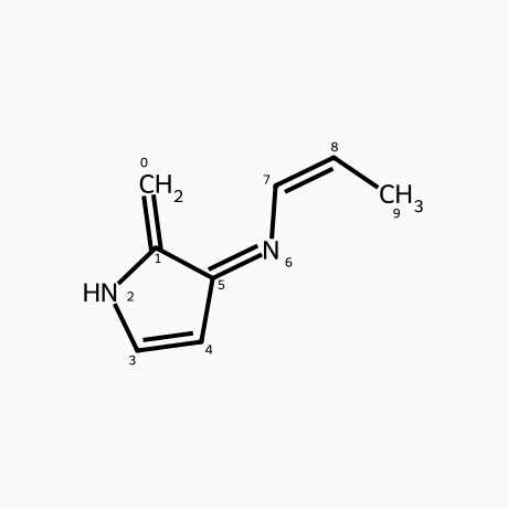 C=C1NC=C/C1=N/C=C\C